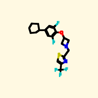 Fc1cc(C2CCCCC2)cc(F)c1OC1CN(Cc2nc(C(F)(F)F)cs2)C1